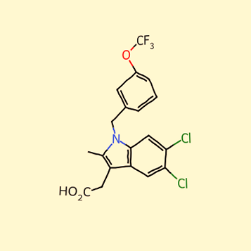 Cc1c(CC(=O)O)c2cc(Cl)c(Cl)cc2n1Cc1cccc(OC(F)(F)F)c1